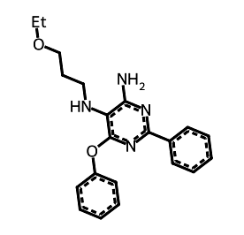 CCOCCCNc1c(N)nc(-c2ccccc2)nc1Oc1ccccc1